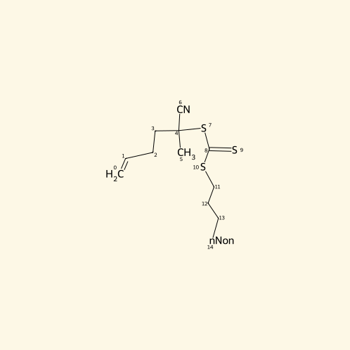 C=CCCC(C)(C#N)SC(=S)SCCCCCCCCCCCC